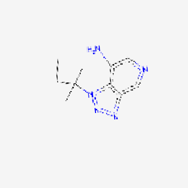 CCC(C)(C)n1nnc2cncc(N)c21